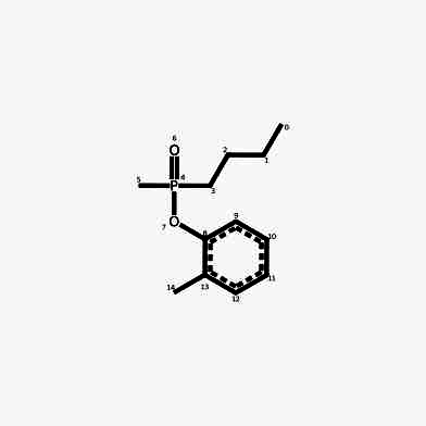 CCCCP(C)(=O)Oc1ccccc1C